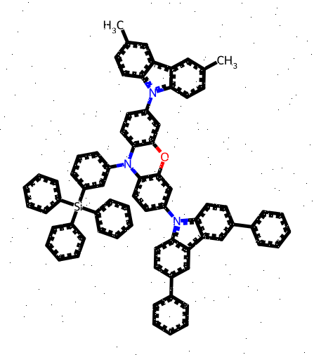 Cc1ccc2c(c1)c1cc(C)ccc1n2-c1ccc2c(c1)Oc1cc(-n3c4ccc(-c5ccccc5)cc4c4cc(-c5ccccc5)ccc43)ccc1N2c1cccc([Si](c2ccccc2)(c2ccccc2)c2ccccc2)c1